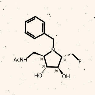 CC(=O)NC[C@@H]1[C@@H](O)[C@H](O)[C@@H](CF)N1Cc1ccccc1